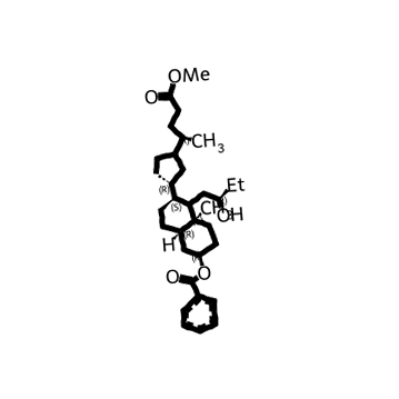 CC[C@@H](O)CC1[C@H]([C@@H]2CCC([C@H](C)CCC(=O)OC)C2)CC[C@@H]2C[C@H](OC(=O)c3ccccc3)CC[C@]12C